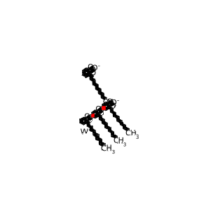 CCCCCCCCCCCCc1ccccc1S(=O)(=O)[O-].CCCCCCCCCCCCc1ccccc1S(=O)(=O)[O-].CCCCCCCCCCCCc1ccccc1S(=O)(=O)[O-].CCCCCCCCCCCCc1ccccc1S(=O)(=O)[O-].[W+4]